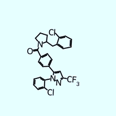 O=C(c1ccc(-c2cc(C(F)(F)F)nn2-c2ccccc2Cl)cc1)N1CCCC1Cc1ccccc1Cl